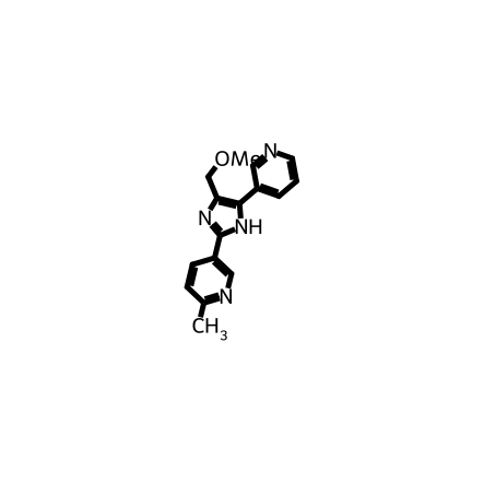 COCc1nc(-c2ccc(C)nc2)[nH]c1-c1cccnc1